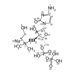 C[N+](C)(C)CCO.Nc1ccn([C@@H]2O[C@H](COP(=O)(O)OP(=O)(O)O)[C@@H](O)[C@H]2O)c(=O)n1.[Na+]